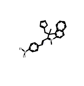 CCN(CC)c1ccc(/C=C/C2=[N+](C)c3ccc4ccccc4c3C2(C)CC2=CC=CC2)cc1